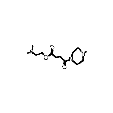 CN(C)CCOC(=O)CCC(=O)N1CCN(C)CC1